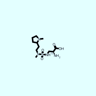 CN1CCCC1CCN(C)S(=O)(=O)NC[C@H](N)C(=O)O